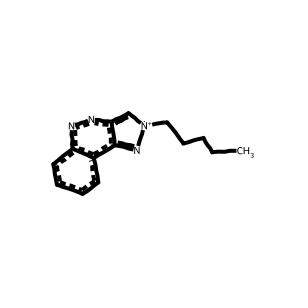 CCCCC[N+]1C=c2nnc3ccccc3c2=N1